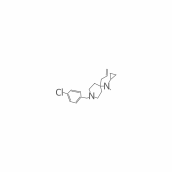 C=CCC1(N(C)C2CC2)CCN(Cc2ccc(Cl)cc2)CC1